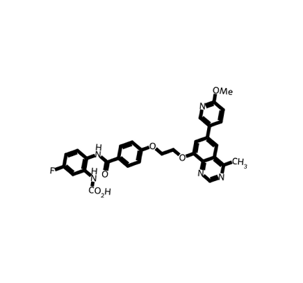 COc1ccc(-c2cc(OCCOc3ccc(C(=O)Nc4ccc(F)cc4NC(=O)O)cc3)c3ncnc(C)c3c2)cn1